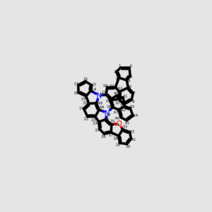 c1ccc2c(c1)-c1cccc3cc(-n4c5ccccc5c5ccc6c7ccc8c9ccccc9oc8c7n(-c7cccc8ccccc78)c6c54)cc-2c13